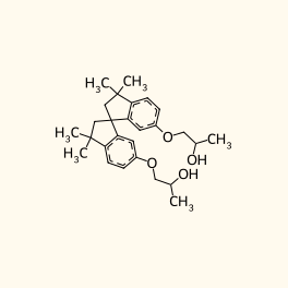 CC(O)COc1ccc2c(c1)C1(CC2(C)C)CC(C)(C)c2ccc(OCC(C)O)cc21